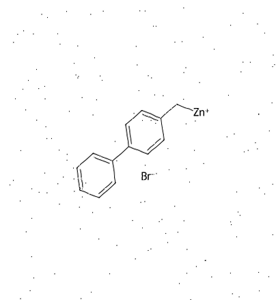 [Br-].[Zn+][CH2]c1ccc(-c2ccccc2)cc1